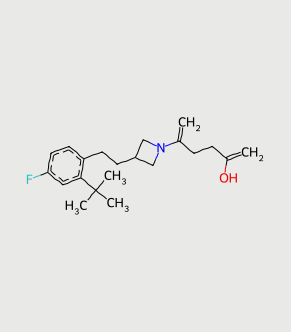 C=C(O)CCC(=C)N1CC(CCc2ccc(F)cc2C(C)(C)C)C1